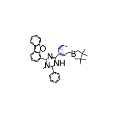 C/C=C\C(=C/CB1CC(C)(C)C(C)(C)C1)C1=NC(c2cccc3c2oc2ccccc23)N(C)C(c2ccccc2)N1